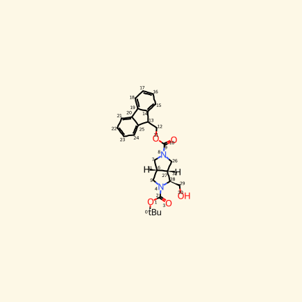 CC(C)(C)OC(=O)N1C[C@@H]2CN(C(=O)OCC3c4ccccc4-c4ccccc43)C[C@@H]2[C@H]1CO